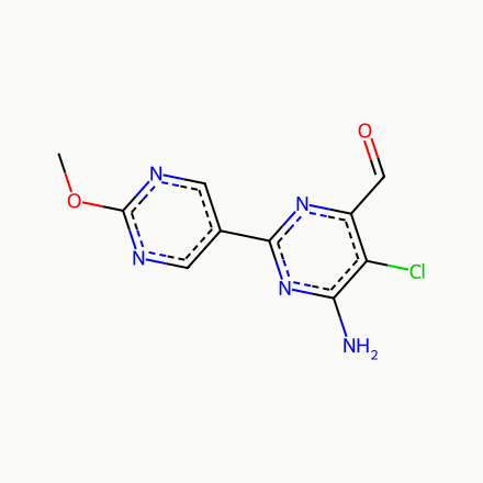 COc1ncc(-c2nc(N)c(Cl)c(C=O)n2)cn1